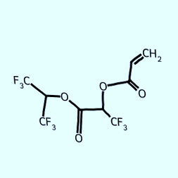 C=CC(=O)OC(C(=O)OC(C(F)(F)F)C(F)(F)F)C(F)(F)F